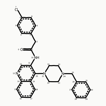 O=C(Cc1ccc(Cl)cc1)Nc1cnc2ccccc2c1N1CCN(Cc2ccccc2)CC1